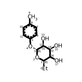 CC[C@H]1O[C@H](Oc2ccc(C)cc2)[C@@H](O)[C@@H](O)C1O